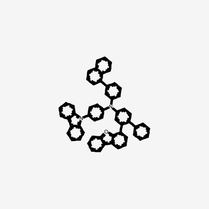 c1ccc(-c2ccc(N(c3ccc(-n4c5ccccc5c5ccccc54)cc3)c3cccc(-c4cccc5ccccc45)c3)cc2-c2cccc3c2oc2ccccc23)cc1